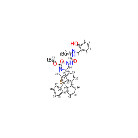 CC[C@H](C)[C@H](NCc1ccccc1O)C(=O)NCC1CC(SC(c2ccccc2)(c2ccccc2)c2ccccc2)CN1C(=O)OC(C)(C)C